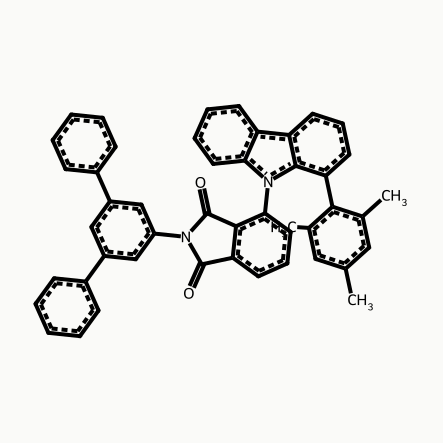 Cc1cc(C)c(-c2cccc3c4ccccc4n(-c4cccc5c4C(=O)N(c4cc(-c6ccccc6)cc(-c6ccccc6)c4)C5=O)c23)c(C)c1